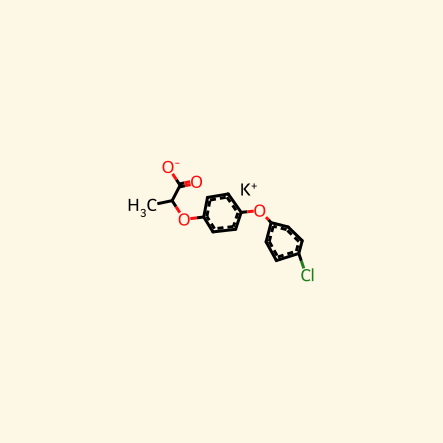 CC(Oc1ccc(Oc2ccc(Cl)cc2)cc1)C(=O)[O-].[K+]